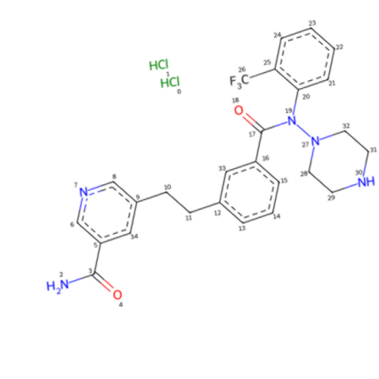 Cl.Cl.NC(=O)c1cncc(CCc2cccc(C(=O)N(c3ccccc3C(F)(F)F)N3CCNCC3)c2)c1